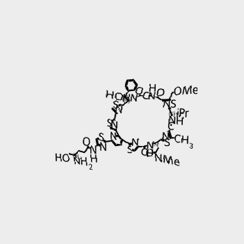 CNC(=O)C[C@@H]1NC(=O)c2csc(n2)-c2ccc(-c3nc(NC(=O)CC[C@H](N)CO)cs3)nc2-c2csc(n2)-c2csc(n2)[C@H]([C@@H](O)c2ccccc2)NC(=O)CNC(=O)c2nc(sc2COC)[C@H](C(C)C)NCc2nc1sc2C